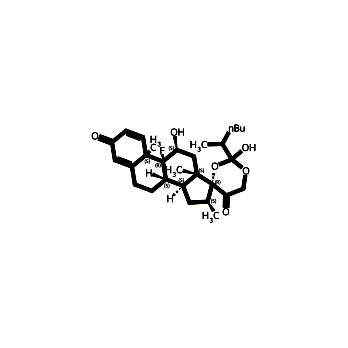 CCCCC(C)C1(O)OCC(=O)[C@@]2(O1)[C@@H](C)C[C@H]1[C@@H]3CCC4=CC(=O)C=C[C@]4(C)[C@@]3(F)[C@@H](O)C[C@@]12C